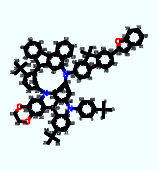 CC(C)(C)c1ccc(N2c3ccc(C(C)(C)C)cc3B3c4cc5c(cc4N4c6ccc(C(C)(C)C)c(c6)C6(C)c7ccccc7-c7c6cc(c6ccccc76)N(c6ccc7c(c6)C(C)(C)c6cc(-c8cc9ccccc9o8)ccc6-7)c6cc2c3c4c6)OCCO5)cc1